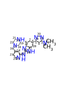 CN(C)c1cc(-c2ccc3nc(Nc4cc(CN5CCNCC5)ccn4)[nH]c3c2)ncn1